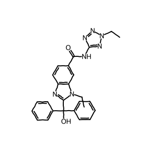 CCn1nnc(NC(=O)c2ccc3nc(C(O)(c4ccccc4)c4ccccc4)n(CC)c3c2)n1